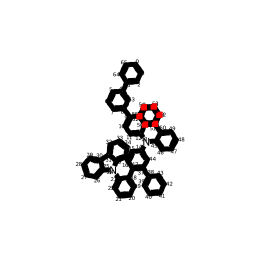 c1ccc(-c2cccc(-c3ccc(N(c4ccc(-c5ccccc5-n5c6ccccc6c6ccccc65)c(-c5ccccc5)c4)c4ccccc4-c4ccccc4)c4ccccc34)c2)cc1